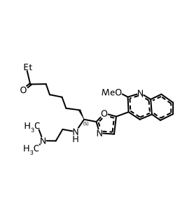 CCC(=O)CCCCC[C@H](NCCN(C)C)c1ncc(-c2cc3ccccc3nc2OC)o1